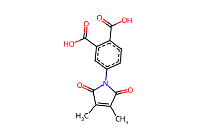 CC1=C(C)C(=O)N(c2ccc(C(=O)O)c(C(=O)O)c2)C1=O